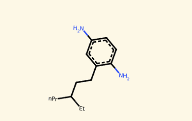 CCCC(CC)CCc1cc(N)ccc1N